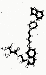 CC(C)C(N)C(=O)NCC(=O)n1c(=O)ccc2ccc(OCCCCN3CCN(c4cccc5sccc45)CC3)cc21